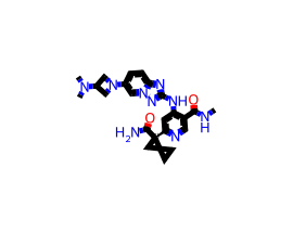 CNC(=O)c1cnc([C@]2(C(N)=O)CC23CC3)cc1Nc1nc2ccc(N3CC(N(C)C)C3)cn2n1